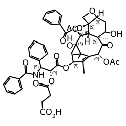 CC(=O)O[C@H]1C(=O)[C@]2(C)C(O)C[C@H]3OC[C@@]3(OC(C)=O)[C@H]2[C@H](OC(=O)c2ccccc2)[C@]2(O)C[C@H](OC(=O)[C@H](OC(=O)CCC(=O)O)[C@@H](NC(=O)c3ccccc3)c3ccccc3)C(C)=C1C2(C)C